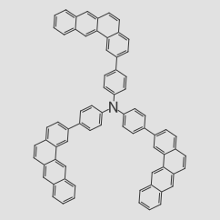 c1ccc2cc3c(ccc4ccc(-c5ccc(N(c6ccc(-c7ccc8ccc9cc%10ccccc%10cc9c8c7)cc6)c6ccc(-c7ccc8ccc9cc%10ccccc%10cc9c8c7)cc6)cc5)cc43)cc2c1